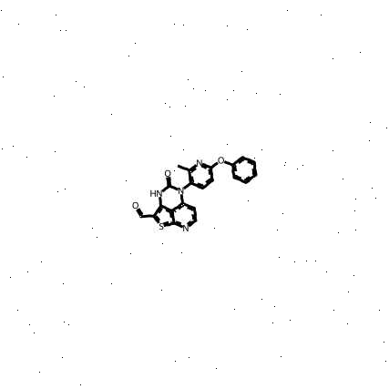 Cc1nc(Oc2ccccc2)ccc1N1C(=O)Nc2c(C=O)sc3nccc1c23